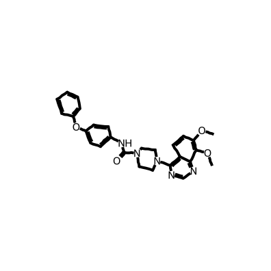 COc1ccc2c(N3CCN(C(=O)Nc4ccc(Oc5ccccc5)cc4)CC3)ncnc2c1OC